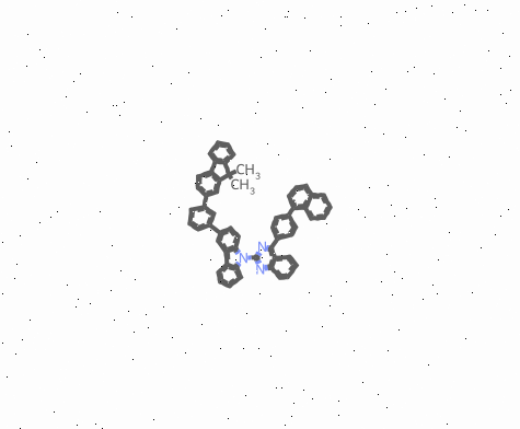 CC1(C)c2ccccc2-c2ccc(-c3cccc(-c4ccc5c(c4)c4ccccc4n5-c4nc(-c5ccc(-c6cccc7ccccc67)cc5)c5ccccc5n4)c3)cc21